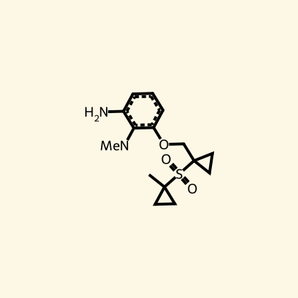 CNc1c(N)cccc1OCC1(S(=O)(=O)C2(C)CC2)CC1